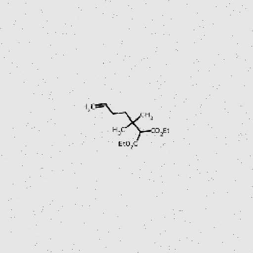 C=CCCC(C)(C)C(C(=O)OCC)C(=O)OCC